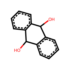 OC1c2ccccc2C(O)c2ccccc21